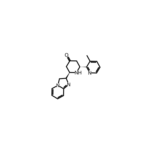 Cc1cccnc1[C@H]1CC(=O)C[C@H](C2CN3C=CC=CC3=N2)N1